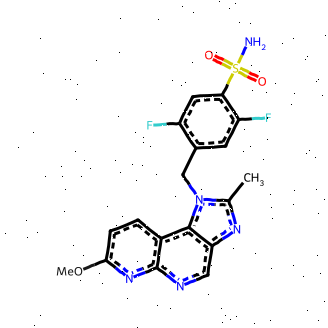 COc1ccc2c(ncc3nc(C)n(Cc4cc(F)c(S(N)(=O)=O)cc4F)c32)n1